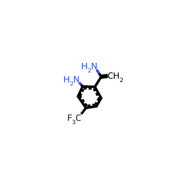 C=C(N)c1ccc(C(F)(F)F)cc1N